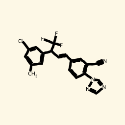 Cc1cc(Cl)cc(C(/C=C/c2ccc(-n3cncn3)c(C#N)c2)C(F)(F)F)c1